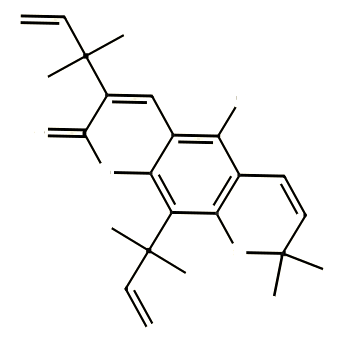 C=CC(C)(C)c1cc2c(O)c3c(c(C(C)(C)C=C)c2oc1=O)OC(C)(C)C=C3